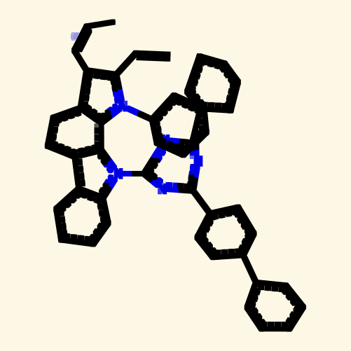 C=Cc1c(/C=C\C)c2ccc3c4ccccc4n(-c4nc(-c5ccccc5)nc(-c5ccc(-c6ccccc6)cc5)n4)c3c2n1-c1ccccc1